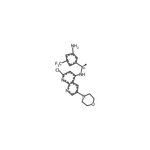 C[C@@H](Nc1cc(Cl)nc2ncc(N3CCOCC3)cc12)c1cc(N)cc(C(F)(F)F)c1